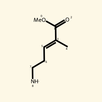 COC(=O)C(C)=C[CH]C[NH]